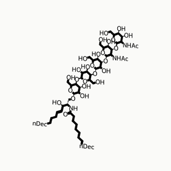 CCCCCCCCCCCCC/C=C/[C@@H](O)[C@H](CO[C@@H]1OC(CO)[C@@H](O[C@@H]2OC(CO)[C@H](O[C@@H]3OC(CO)[C@H](O)[C@H](O[C@@H]4OC(CO)[C@H](O)[C@H](O[C@H]5OC(CO)[C@H](O)[C@H](O)C5NC(C)=O)C4NC(C)=O)C3O)[C@H](O)C2O)[C@H](O)C1O)NC(=O)CCCCCCCCCCCCCCCCC